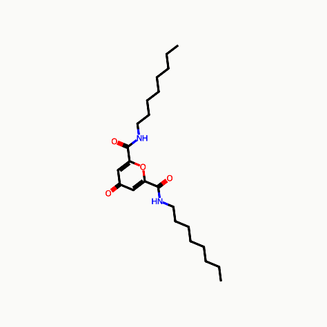 CCCCCCCCNC(=O)c1cc(=O)cc(C(=O)NCCCCCCCC)o1